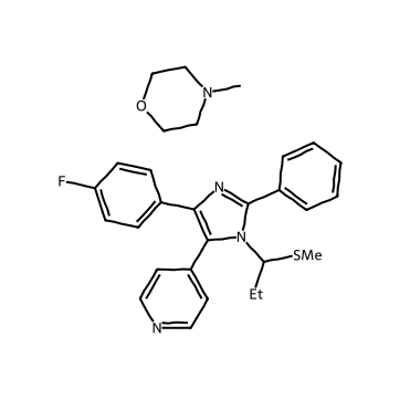 CCC(SC)n1c(-c2ccccc2)nc(-c2ccc(F)cc2)c1-c1ccncc1.CN1CCOCC1